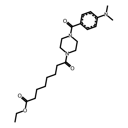 CCOC(=O)CCCCCCC(=O)N1CCN(C(=O)c2ccc(N(C)C)cc2)CC1